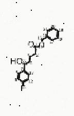 O=C(CCC[C@H](O)c1ccc(F)cc1)OCc1ccccc1